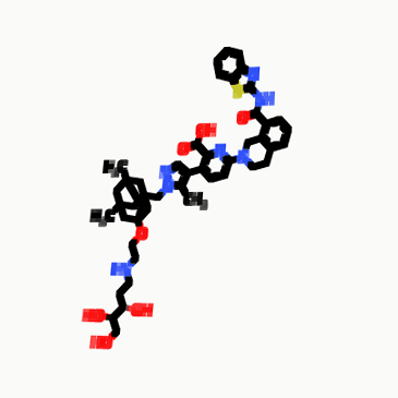 Cc1c(-c2ccc(N3CCc4cccc(C(=O)Nc5nc6ccccc6s5)c4C3)nc2C(=O)O)cnn1CC12CC3(C)CC(C)(C1)CC(OCCNCC[C@H](O)[C@H](O)CO)(C3)C2